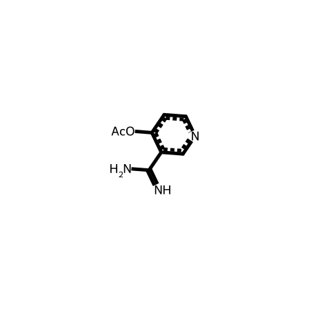 CC(=O)Oc1ccncc1C(=N)N